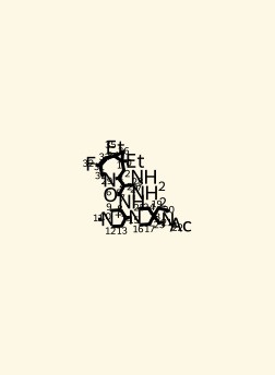 CCC12CC(C(C(=O)NC3C[N+](C)=CCC3N3CCC4(CCN(C(C)=O)C4)CC3)C(N)N)/N=C\C(F)=C/[C@@]1(CC)C2